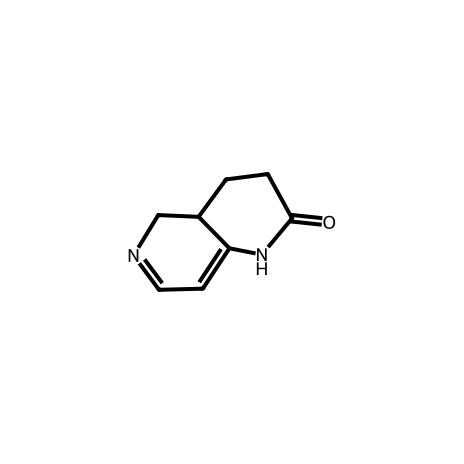 O=C1CCC2CN=CC=C2N1